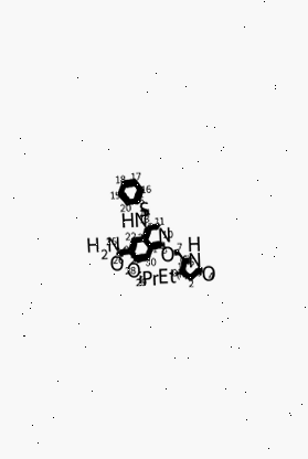 CC[C@@H]1CC(=O)N[C@@H]1COc1ncc(NSc2ccccc2)c2cc(C(N)=O)c(OC(C)C)cc12